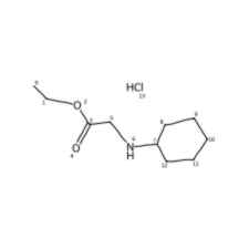 CCOC(=O)CNC1CCCCC1.Cl